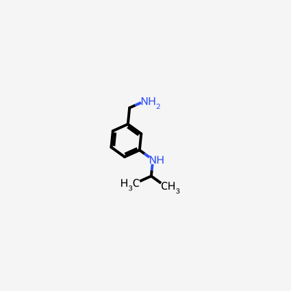 CC(C)Nc1cccc(CN)c1